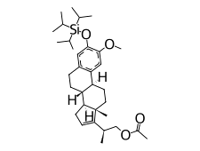 COc1cc2c(cc1O[Si](C(C)C)(C(C)C)C(C)C)CC[C@@H]1[C@@H]2CC[C@]2(C)C([C@H](C)COC(C)=O)=CC[C@@H]12